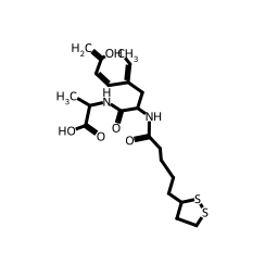 C=C(O)/C=C\C(=C/C)CC(NC(=O)CCCCC1CCSS1)C(=O)NC(C)C(=O)O